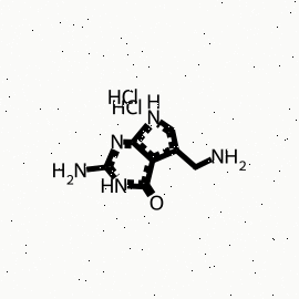 Cl.Cl.NCc1c[nH]c2nc(N)[nH]c(=O)c12